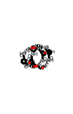 Cc1c2cccc1C(=O)NCCN1CCNC(=O)c3cccc(c3O)C(=O)NCCN(CCNC2=O)CCN2CCNC(=O)c3cccc(c3O)C(=O)NCCN(CC1)CC([CH](F)[Fm])NC(=O)c1cccc(c1O)C(=O)NCC2